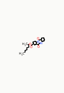 CCCCCCC(C)OC(=O)c1ccc2c(c1)C(=O)c1nc3ccccc3c(=O)n1-2